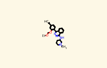 C#Cc1ccc(-c2nnc(NC3CCCN(C)C3)c3ccccc23)c(OCOCC)c1